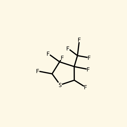 FC1SC(F)C(F)(C(F)(F)F)C1(F)F